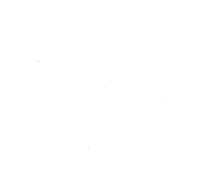 Cc1cc2c(c(=O)[nH]1)CNC(=O)c1c(c(Br)cc3oc(CN4CCCCC4)cc13)CC2